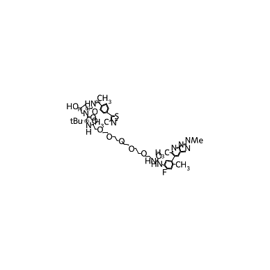 CNc1ncc2cc(-c3cc(NC(=O)NCCOCCOCCOCCOCCOCC(=O)N[C@@H](C(=O)N4C[C@H](O)C[C@H]4C(=O)N[C@@H](C)c4ccc(-c5scnc5C)cc4)C(C)(C)C)c(F)cc3C)c(C)nc2n1